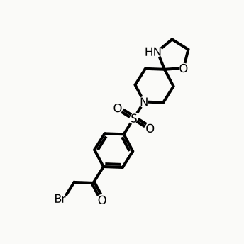 O=C(CBr)c1ccc(S(=O)(=O)N2CCC3(CC2)NCCO3)cc1